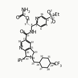 CCS(=O)(=O)c1ccc([C@@H](COC(N)=O)NC(=O)c2cnc3c(c2)CN(CC2CCC(C(F)(F)F)CC2)C3C(C)C)nc1